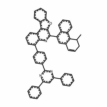 CC1CC=Cc2cc(-c3nc4c(-c5ccc(-c6nc(-c7ccccc7)cc(-c7ccccc7)n6)cc5)cccc4c4c3oc3ccccc34)c3ccccc3c21